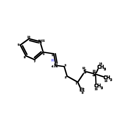 CCC(CC/N=C/c1ccccn1)S[Si](C)(C)C